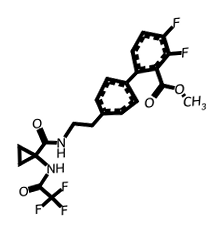 COC(=O)c1c(-c2ccc(CCNC(=O)C3(NC(=O)C(F)(F)F)CC3)cc2)ccc(F)c1F